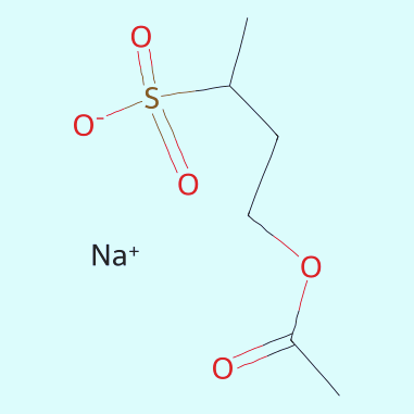 CC(=O)OCCC(C)S(=O)(=O)[O-].[Na+]